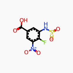 O=C(O)c1cc(N[SH](=O)=O)c(F)c([N+](=O)[O-])c1